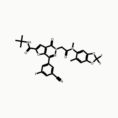 Cc1cc2c(cc1N(C)C(=O)Cn1nc(-c3cc(F)cc(C#N)c3)c3oc(C(=O)NC(C)(C)C)cc3c1=O)OC(F)(F)O2